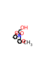 COc1ccccc1CN1C(=O)C(CCO)Oc2ccccc21